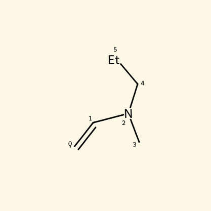 [CH]=CN(C)CCC